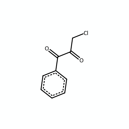 O=C(CCl)C(=O)c1ccccc1